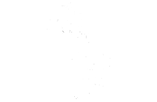 N#Cc1ccc(C2Oc3cccc(-c4cc(F)c(Cc5nc6ccc(C(=O)O)cc6n5C[C@@H]5CCO5)c(F)c4)c3O2)c(F)c1